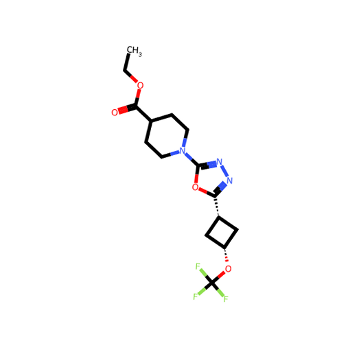 CCOC(=O)C1CCN(c2nnc([C@H]3C[C@@H](OC(F)(F)F)C3)o2)CC1